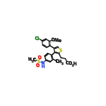 COc1cc(Cl)ccc1-c1csc(CCC(=O)O)c1-c1ccc(NS(C)(=O)=O)cc1C